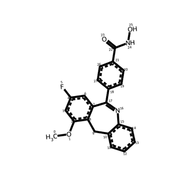 COc1cc(F)cc2c1Cc1ccccc1N=C2c1ccc(C(=O)NO)cc1